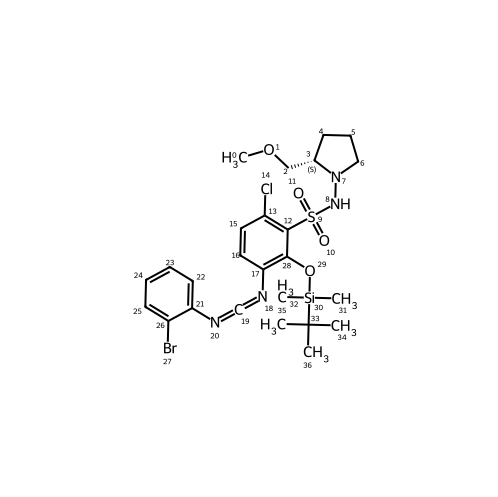 COC[C@@H]1CCCN1NS(=O)(=O)c1c(Cl)ccc(N=C=Nc2ccccc2Br)c1O[Si](C)(C)C(C)(C)C